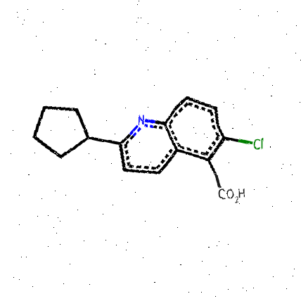 O=C(O)c1c(Cl)ccc2nc(C3CCCC3)ccc12